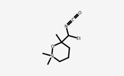 CCC(N=C=O)C1(C)CCC[Si](C)(C)O1